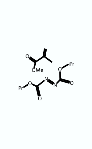 C=C(C)C(=O)OC.CC(C)OC(=O)N=NC(=O)OC(C)C